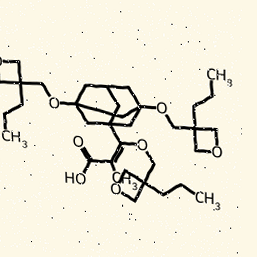 CCCC1(COC(=C(C)C(=O)O)C23CC4CC(OCC5(CCC)COC5)(CC(OCC5(CCC)COC5)(C4)C2)C3)COC1